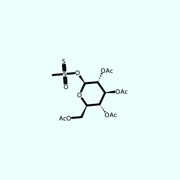 CC(=O)OC[C@H]1O[C@@H](OS(C)(=O)=S)[C@H](OC(C)=O)[C@@H](OC(C)=O)[C@@H]1OC(C)=O